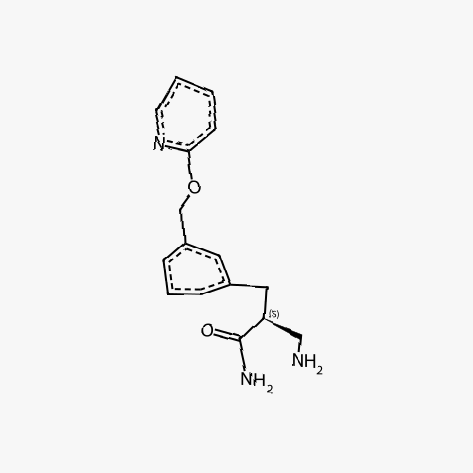 NC[C@H](Cc1cccc(COc2ccccn2)c1)C(N)=O